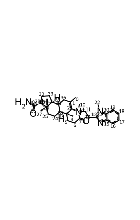 CC1=C2[C@](C)(CCC(=O)[N+]2(C)CCc2nc3ccccc3n2C)[C@H]2CC[C@]3(C)[C@@H](C(N)=O)CC[C@H]3[C@@H]2C1